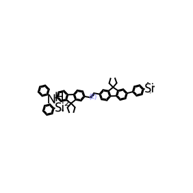 CCC1(CC)c2cc(/C=C/c3ccc4c(c3)C(CC)(CC)c3cc(N(c5ccccc5)c5ccccc5[SiH2]C)ccc3-4)ccc2-c2ccc(-c3ccc([Si](C)(C)C)cc3)cc21